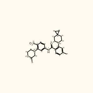 Cc1ccc(C(=O)Nc2ccc([N+](=O)[O-])c(N3CCOC(C)C3)c2)c(N2CCC3(CC2)CC3)c1